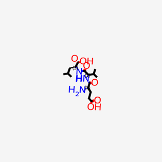 CC(C)C[C@H](NC(=O)[C@@H](NC(=O)[C@@H](N)CCC(=O)O)C(C)C)C(=O)O